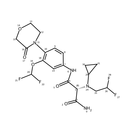 NC(=O)[C@H](C(=O)Nc1ccc(N2CCOCC2=O)c(OC(F)F)c1)N(CC(F)F)C1CC1